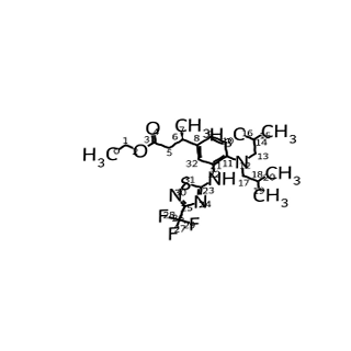 CCOC(=O)C[C@@H](C)c1ccc(N(CC(C)C)CC(C)C)c(Nc2nc(C(F)(F)F)ns2)c1